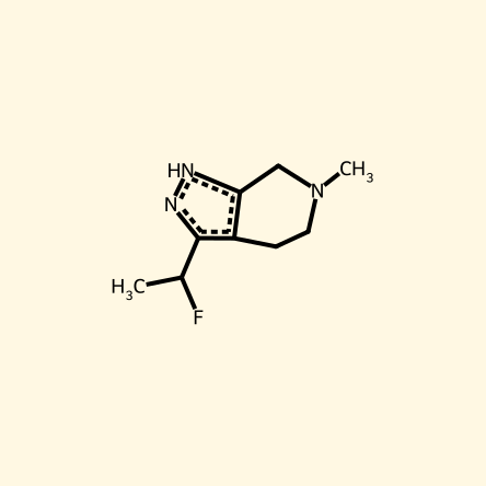 CC(F)c1n[nH]c2c1CCN(C)C2